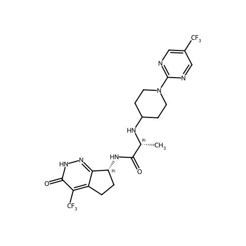 C[C@@H](NC1CCN(c2ncc(C(F)(F)F)cn2)CC1)C(=O)N[C@@H]1CCc2c1n[nH]c(=O)c2C(F)(F)F